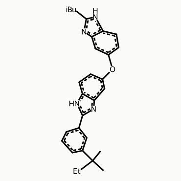 CCC(C)c1nc2cc(Oc3ccc4[nH]c(-c5cccc(C(C)(C)CC)c5)nc4c3)ccc2[nH]1